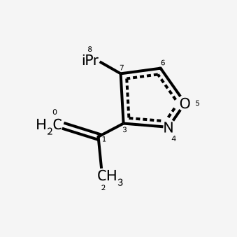 C=C(C)c1nocc1C(C)C